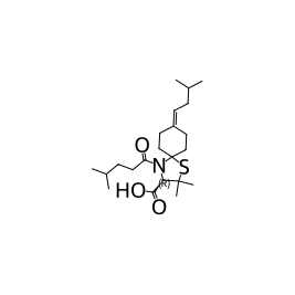 CC(C)CC=C1CCC2(CC1)SC(C)(C)[C@@H](C(=O)O)N2C(=O)CCC(C)C